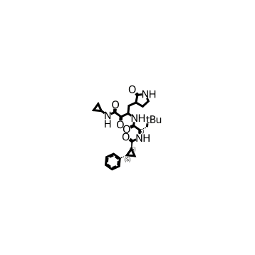 CC(C)(C)C[C@H](NC(=O)[C@H]1C[C@@H]1c1ccccc1)C(=O)NC(CC1CCNC1=O)C(=O)C(=O)NC1CC1